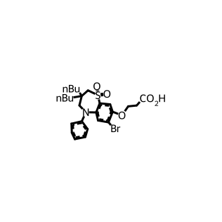 CCCCC1(CCCC)CN(c2ccccc2)c2cc(Br)c(OCCC(=O)O)cc2S(=O)(=O)C1